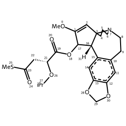 COC1=CC23CCCN2CCc2cc4c(cc2[C@@H]3C1OC(=O)[C@@H](CC(=O)SC)OC(C)C)OCO4